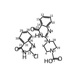 O=C(O)N1CCN(c2nc3ccccc3c(=O)[nH]2)CC1.O=c1[nH]c(Cl)nc2ccccc12